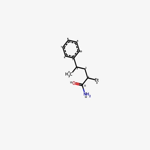 CCC(CC(C)c1ccccc1)C(N)=O